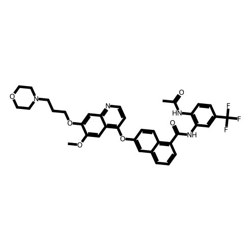 COc1cc2c(Oc3ccc4c(C(=O)Nc5cc(C(F)(F)F)ccc5NC(C)=O)cccc4c3)ccnc2cc1OCCCN1CCOCC1